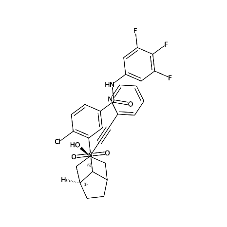 O=C(Nc1cc(F)c(F)c(F)c1)c1ccc(Cl)c(S(=O)(=O)C2C3CC[C@H]2C[C@](O)(C#Cc2ccccn2)C3)c1